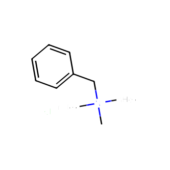 CCCCCC[N+](C)(CCCCCC)Cc1ccccc1.[Cl-]